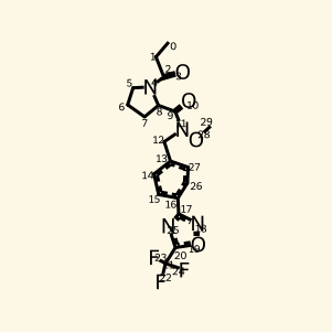 CCC(=O)N1CCCC1C(=O)N(Cc1ccc(-c2noc(C(F)(F)F)n2)cc1)OC